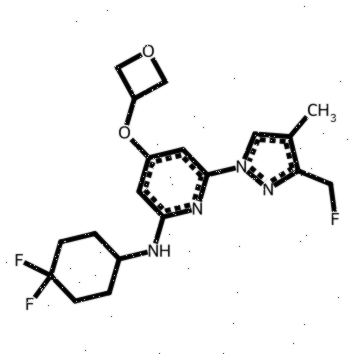 Cc1cn(-c2cc(OC3COC3)cc(NC3CCC(F)(F)CC3)n2)nc1CF